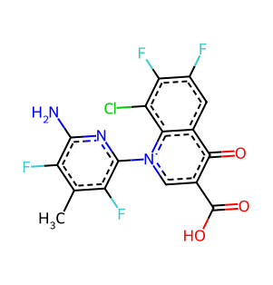 Cc1c(F)c(N)nc(-n2cc(C(=O)O)c(=O)c3cc(F)c(F)c(Cl)c32)c1F